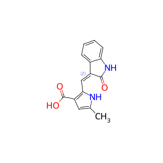 Cc1cc(C(=O)O)c(/C=C2\C(=O)Nc3ccccc32)[nH]1